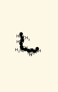 Cc1nc(Nc2ccccc2)sc1-c1ccnc(Nc2ccc(N3CCN(C(C)C(=O)C(C)N4CCN(c5ccc(Nc6nccc(-c7sc(Nc8ccccc8)nc7C)n6)cc5)CC4)CC3)cc2)n1